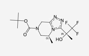 C[C@H]1CN(C(=O)OC(C)(C)C)Cc2nnc([C@@](C)(O)C(F)(F)F)n21